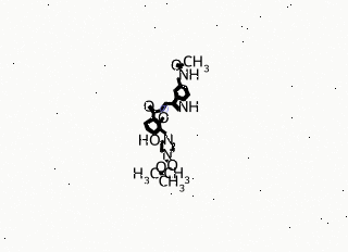 CC(=O)NCc1ccc2[nH]cc(/C=C3\Oc4c(ccc(O)c4CN4CCN(C(=O)OC(C)(C)C)CC4)C3=O)c2c1